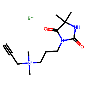 C#CC[N+](C)(C)CCCN1C(=O)NC(C)(C)C1=O.[Br-]